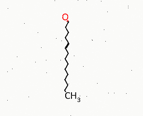 CCCCCCCCCC=CCCCC=O